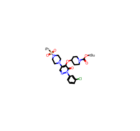 CC(C)S(=O)(=O)N1CCN(c2cnn(-c3cccc(Cl)c3)c(=O)c2OC2CCN(C(=O)OC(C)(C)C)CC2)CC1